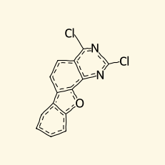 Clc1nc(Cl)c2ccc3c4ccccc4oc3c2n1